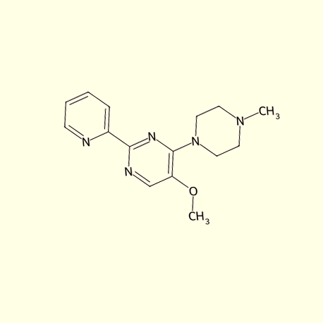 COc1cnc(-c2ccccn2)nc1N1CCN(C)CC1